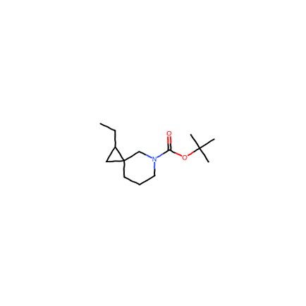 CCC1CC12CCCN(C(=O)OC(C)(C)C)C2